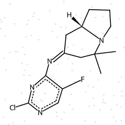 CC1(C)C/C(=N\c2nc(Cl)ncc2F)C[C@@H]2CCCN21